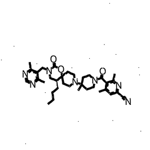 CCCC[C@H]1CN(Cc2c(C)ncnc2C)C(=O)OC12CCN(C1(C)CCN(C(=O)c3c(C)cc(C#N)nc3C)CC1)CC2